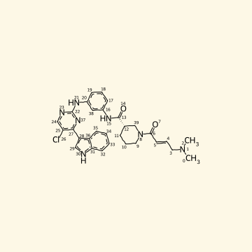 CN(C)C/C=C/C(=O)N1CCC[C@H](C(=O)Nc2cccc(Nc3ncc(Cl)c(-c4c[nH]c5ccccc45)n3)c2)C1